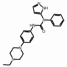 CCN1CCN(c2ccc(NC(=O)N(c3ccccc3)c3ccn[nH]3)cc2)CC1